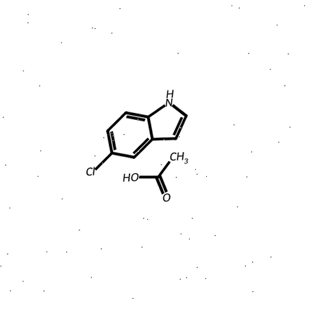 CC(=O)O.Clc1ccc2[nH]ccc2c1